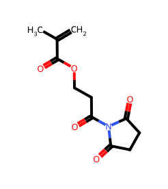 C=C(C)C(=O)OCCC(=O)N1C(=O)CCC1=O